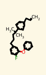 C=CCc1ccc(C(C)(C)CCCc2ccc(F)c(Oc3ccccc3)c2)cc1